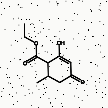 CCOC(=O)C1C(O)=CC(=O)CC1C